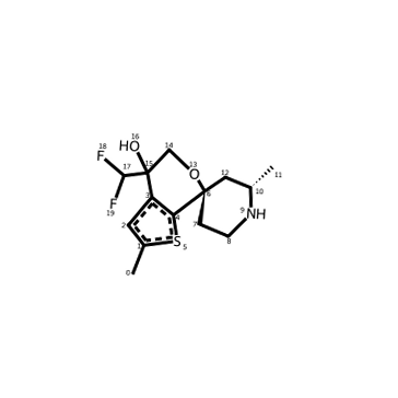 Cc1cc2c(s1)[C@]1(CCN[C@@H](C)C1)OCC2(O)C(F)F